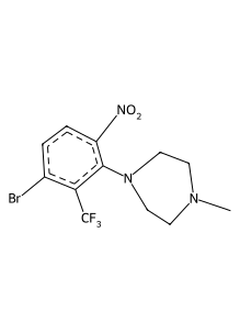 CN1CCN(c2c([N+](=O)[O-])ccc(Br)c2C(F)(F)F)CC1